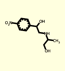 CC(CO)NCC(O)c1ccc([N+](=O)[O-])cc1